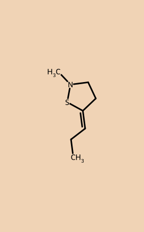 CCC=C1CCN(C)S1